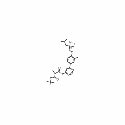 Cc1cc(-c2cc(OC(=O)N(C)C(=O)OC(C)(C)C)ncn2)ccc1OC[C@@](C)(N)CC(C)C